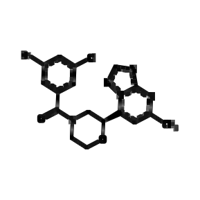 Cc1cc([C@@H]2CN(C(=O)c3cc(Cl)cc(Br)c3)CCO2)n2ncnc2n1